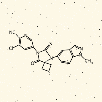 Cn1ncc2cc(N3C(=S)N(c4cnc(C#N)c(Cl)c4)C(=O)C34CCC4)ccc21